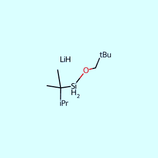 [CH2]C(C)(C)CO[SiH2]C(C)(C)C(C)C.[LiH]